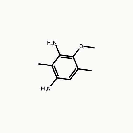 COc1c(C)cc(N)c(C)c1N